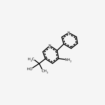 CC(C)(O)c1cnc(-c2cccnc2)c(N)c1